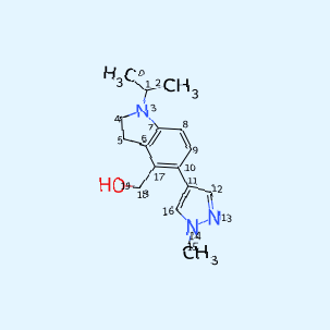 CC(C)N1CCc2c1ccc(-c1cnn(C)c1)c2CO